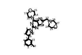 Cc1cccc(-c2ccn(-c3nc(N4CCOCC4)c4nc(CN5CCOCC5)sc4n3)n2)c1